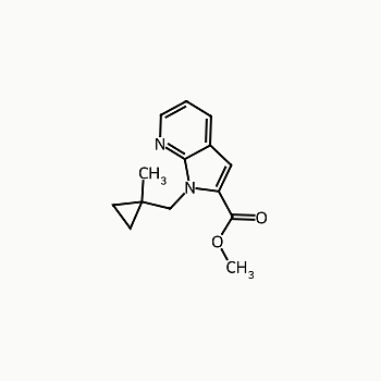 COC(=O)c1cc2cccnc2n1CC1(C)CC1